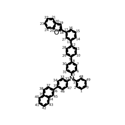 c1ccc(N(c2ccc(-c3ccc(-c4cccc(-c5cc6ccccc6o5)c4)cc3)cc2)c2ccc(-c3ccc4ccccc4c3)cc2)cc1